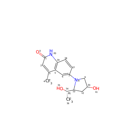 O=c1cc(C(F)(F)F)c2cc(N3CC(O)CC3[C@@H](O)C(F)(F)F)ccc2[nH]1